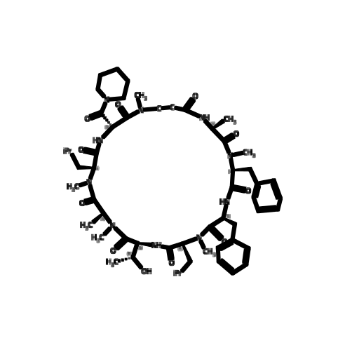 CC(C)C[C@H]1C(=O)N[C@@H]([C@@H](C)O)C(=O)N(C)[C@@H](C)C(=O)N(C)[C@@H](CC(C)C)C(=O)N[C@H](C(=O)N2CCCCC2)C(=O)N(C)CCC(=O)N[C@@H](C)C(=O)N(C)[C@@H](Cc2ccccc2)C(=O)N[C@@H](Cc2ccccc2)C(=O)N1C